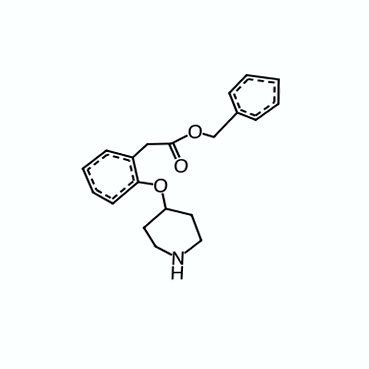 O=C(Cc1ccccc1OC1CCNCC1)OCc1ccccc1